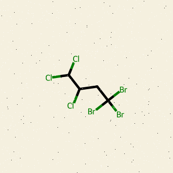 Cl[C](Cl)C(Cl)CC(Br)(Br)Br